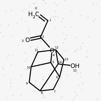 C=CC(=O)OC1C2CC3CC1CC(C2)C3O